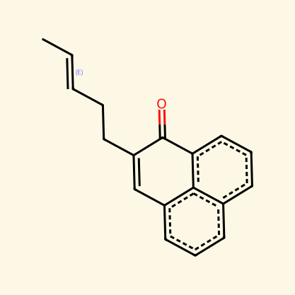 C/C=C/CCC1=Cc2cccc3cccc(c23)C1=O